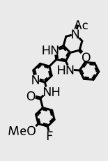 COc1cc(C(=O)Nc2cc(-c3[nH]c4c(c3Nc3ccccc3)C(=O)CN(C(C)=O)C4)ccn2)ccc1F